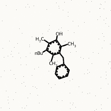 CCCCc1c(C)c(O)c(C)c(Cc2ccccc2)c1C